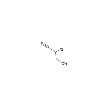 N#CC(Cl)CO